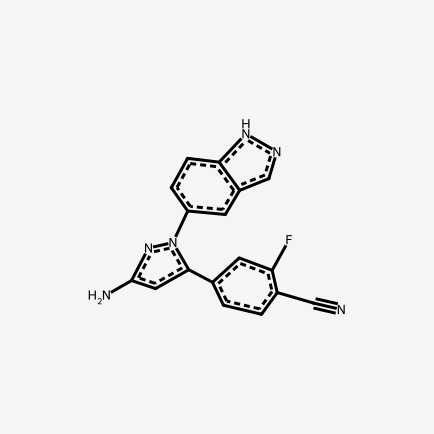 N#Cc1ccc(-c2cc(N)nn2-c2ccc3[nH]ncc3c2)cc1F